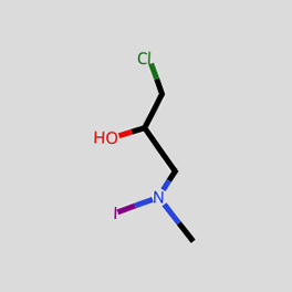 CN(I)CC(O)CCl